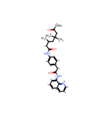 COC(=O)CC(C)(C)CC(C)CC(=O)Nc1ccc(CC(=O)Nc2cccc3cccnc23)cc1